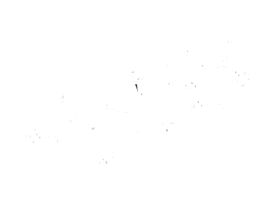 C=C(N)c1ccc([C@H](O)[C@H](O)C(CC#N)CCC(=O)CN)n1/N=C\C